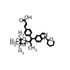 CC/C(B1OC(C)(C)C(C)(C)O1)=C(/c1ccc(C=CC(=O)O)cc1)c1ccc2c(cnn2C2CCCCO2)c1